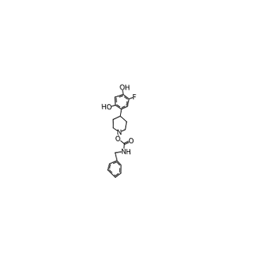 O=C(NCc1ccccc1)ON1CCC(c2cc(F)c(O)cc2O)CC1